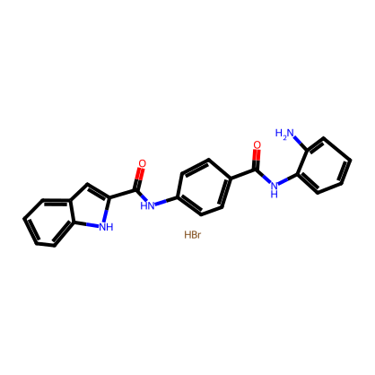 Br.Nc1ccccc1NC(=O)c1ccc(NC(=O)c2cc3ccccc3[nH]2)cc1